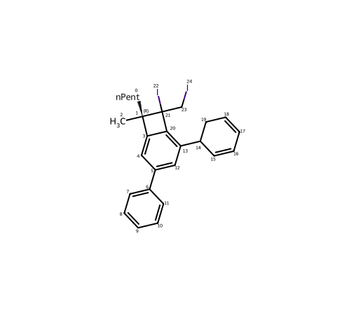 CCCCC[C@]1(C)c2cc(-c3ccccc3)cc(C3C=CC=CC3)c2C1(I)CI